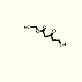 O=C(CCO)CC(=O)OCO